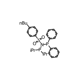 CCCCc1ccc(S(=O)(=O)N(P(c2ccccc2)c2ccccc2)P(C(C)C)C(C)C)cc1